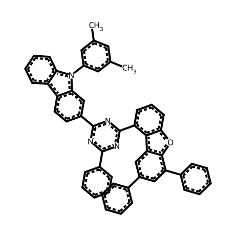 Cc1cc(C)cc(-n2c3ccccc3c3ccc(-c4nc(-c5ccccc5)nc(-c5cccc6oc7c(-c8ccccc8)cc(-c8ccccc8)cc7c56)n4)cc32)c1